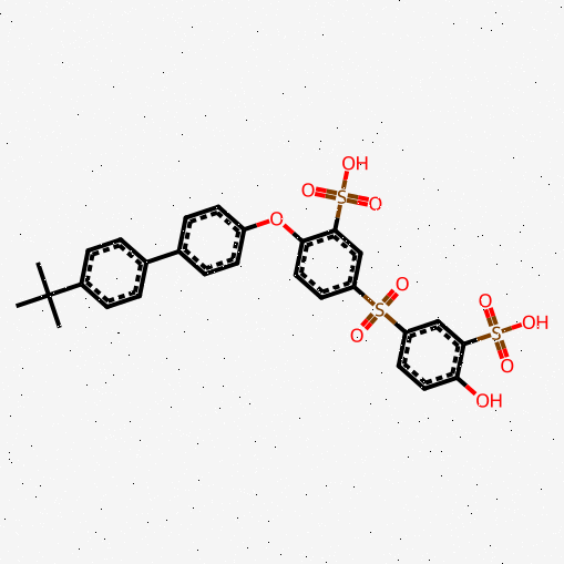 CC(C)(C)c1ccc(-c2ccc(Oc3ccc(S(=O)(=O)c4ccc(O)c(S(=O)(=O)O)c4)cc3S(=O)(=O)O)cc2)cc1